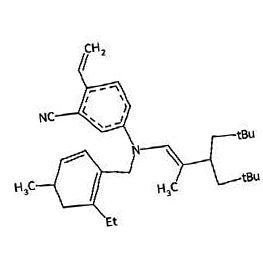 C=Cc1ccc(N(/C=C(\C)C(CC(C)(C)C)CC(C)(C)C)CC2=C(CC)CC(C)C=C2)cc1C#N